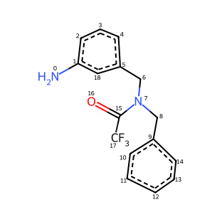 Nc1cccc(CN(Cc2ccccc2)C(=O)C(F)(F)F)c1